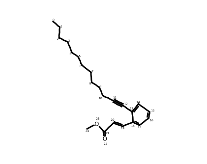 CCCCCCCCCCCC#Cc1ccccc1C=CC(=O)OC